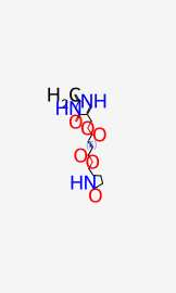 C=C1NC=C(COC(=O)/C=C/C(=O)OCC2CCC(=O)N2)C(=O)N1